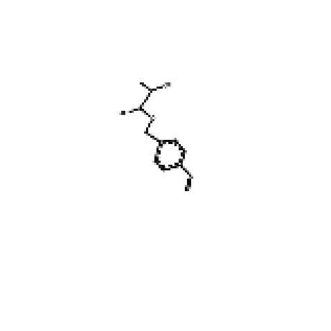 C=Cc1ccc(COC(O)C(C)O)cc1